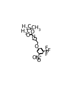 CC(C)(C)OC(=O)N1CC(COc2cc([N+](=O)[O-])cc(C(F)(F)F)c2)C1